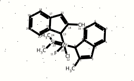 CC1=Cc2ccccc2[CH]1[Zr]([F])([Cl])([CH]1C(C)=Cc2ccccc21)=[Si](C)C